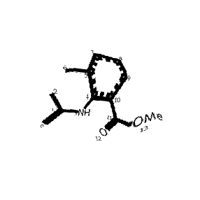 C=C(C)Nc1c(C)cccc1C(=O)OC